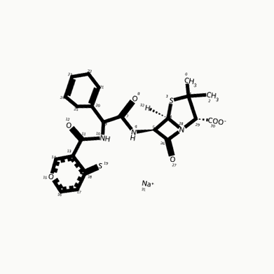 CC1(C)S[C@@H]2[C@H](NC(=O)C(NC(=O)c3coccc3=S)C3=CCC=CC3)C(=O)N2[C@H]1C(=O)[O-].[Na+]